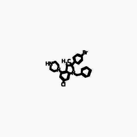 CC1(c2ccc(Br)cc2)Cc2c(N3CCNCC3)cc(Cl)cc2N(Cc2ccccc2)C1